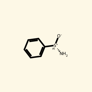 N[S@@+]([O-])c1ccccc1